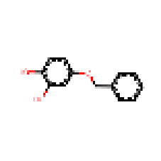 Oc1ccc(OCc2ccccc2)cc1O